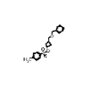 Cc1ccc(S(=O)(=O)O[C@H]2C[C@H](COCc3ccccc3)C2)cc1